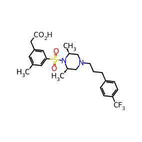 Cc1cc(CC(=O)O)cc(S(=O)(=O)N2[C@H](C)CN(CCCc3ccc(C(F)(F)F)cc3)C[C@@H]2C)c1